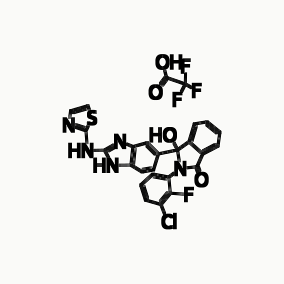 O=C(O)C(F)(F)F.O=C1c2ccccc2C(O)(c2ccc3[nH]c(Nc4nccs4)nc3c2)N1c1cccc(Cl)c1F